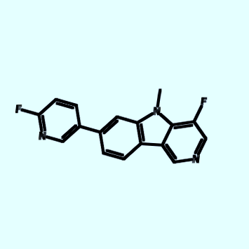 Cn1c2cc(-c3ccc(F)nc3)ccc2c2cncc(F)c21